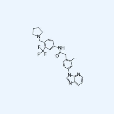 Cc1cc(-n2cnc3cccnc32)ccc1CC(=O)Nc1ccc(CN2CCCC2)c(C(F)(F)F)c1